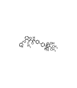 Cc1c(C(=O)Nc2ccc(-c3ccc(S(=O)(=O)N[C@H](C(=O)O)C(C)C)cc3)cc2)oc2cccc(OCc3cccnc3)c12